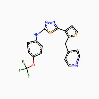 FC(F)(F)Oc1ccc(Nc2nnc(-c3ccsc3Cc3ccncc3)s2)cc1